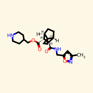 Cc1cc(CNC(=O)[C@H]2[C@H](C(=O)OCC3CCNCC3)[C@H]3CC[C@@H]2C32CC2)on1